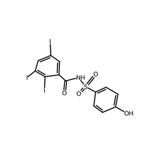 O=C(NS(=O)(=O)c1ccc(O)cc1)c1cc(I)cc(I)c1I